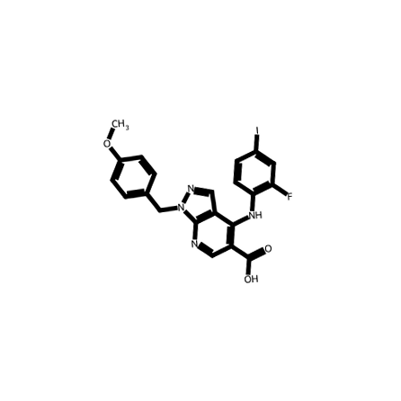 COc1ccc(Cn2ncc3c(Nc4ccc(I)cc4F)c(C(=O)O)cnc32)cc1